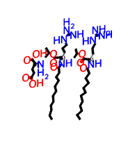 CCCCCCCCCCCC(=O)N[C@@H](CCCNC(=N)N)C(=O)OC(C)C.CCCCCCCCCCCC(=O)N[C@@H](CCCNC(=N)N)C(=O)OC(C)C.N[C@@H](CCC(=O)O)C(=O)O